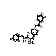 CN(CC1CCN(CC(=O)c2ccc(F)cc2)CC1)C(=O)NCc1cccnc1